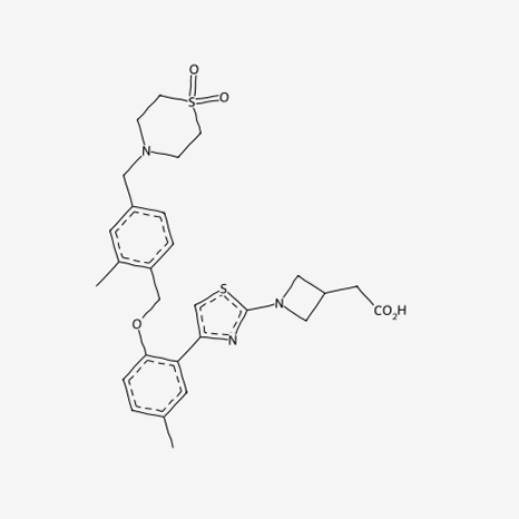 Cc1ccc(OCc2ccc(CN3CCS(=O)(=O)CC3)cc2C)c(-c2csc(N3CC(CC(=O)O)C3)n2)c1